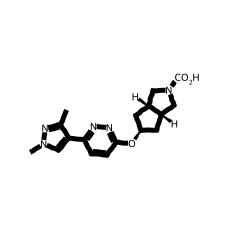 Cc1nn(C)cc1-c1ccc(O[C@H]2C[C@@H]3CN(C(=O)O)C[C@@H]3C2)nn1